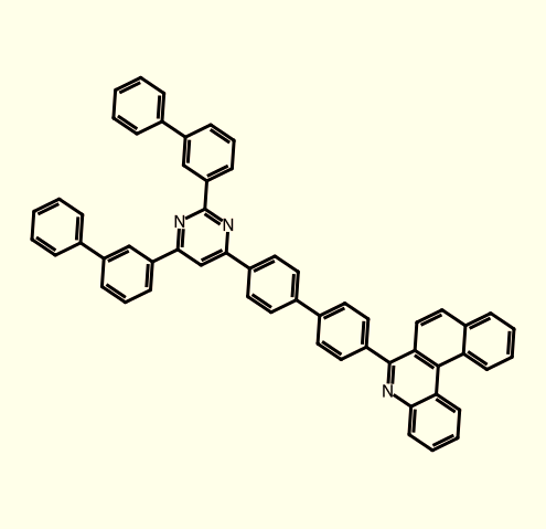 c1ccc(-c2cccc(-c3cc(-c4ccc(-c5ccc(-c6nc7ccccc7c7c6ccc6ccccc67)cc5)cc4)nc(-c4cccc(-c5ccccc5)c4)n3)c2)cc1